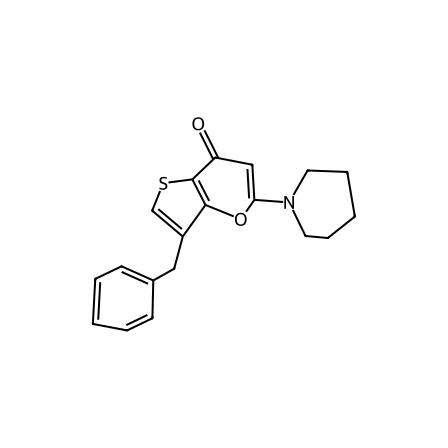 O=c1cc(N2CCCCC2)oc2c(Cc3ccccc3)csc12